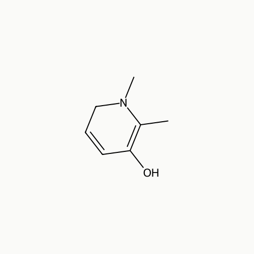 CC1=C(O)C=CCN1C